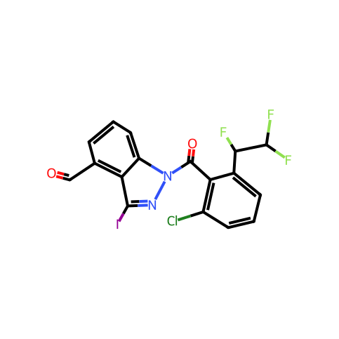 O=Cc1cccc2c1c(I)nn2C(=O)c1c(Cl)cccc1C(F)C(F)F